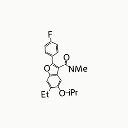 CCc1cc2oc(-c3ccc(F)cc3)c(C(=O)NC)c2cc1OC(C)C